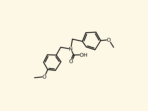 COc1ccc(CN(Cc2ccc(OC)cc2)C(=O)O)cc1